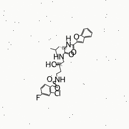 CC(C)C[C@H](NC(=O)c1cc2ccccc2o1)C(=O)NC[C@H](O)CCNS(=O)(=O)c1ccc(F)cc1Cl